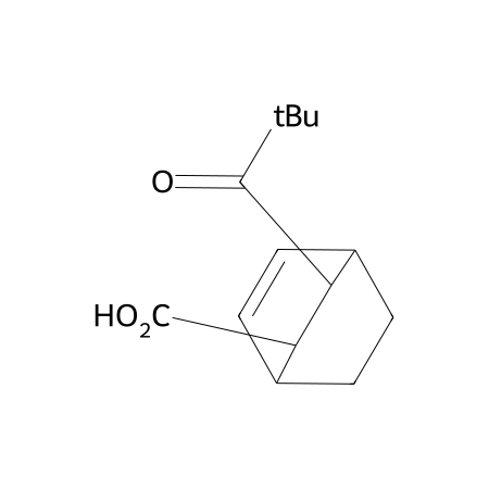 CC(C)(C)C(=O)C1C2C=CC(CC2)C1C(=O)O